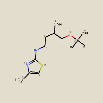 COC(CCNc1nc(C(=O)O)cs1)CO[Si](C)(C)C(C)(C)C